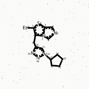 CCc1sc2cncn2c1Cc1cn(C2CCCC2)nn1